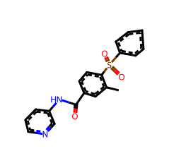 Cc1cc(C(=O)Nc2cccnc2)ccc1S(=O)(=O)c1ccccc1